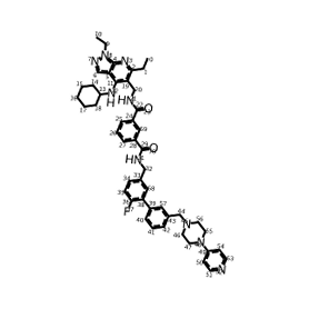 CCc1nc2c(cnn2CC)c(NC2CCCCC2)c1CNC(=O)c1cccc(C(=O)NCc2ccc(F)c(-c3cccc(CN4CCN(c5ccncc5)CC4)c3)c2)c1